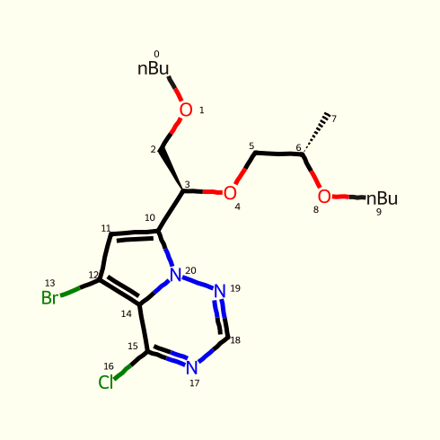 CCCCOC[C@@H](OC[C@H](C)OCCCC)c1cc(Br)c2c(Cl)ncnn12